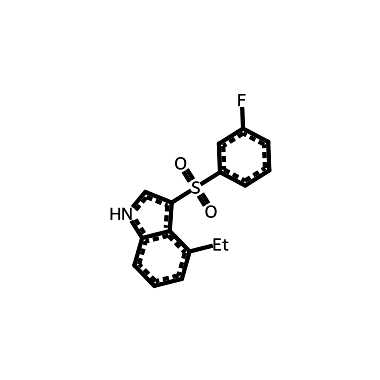 [CH2]Cc1cccc2[nH]cc(S(=O)(=O)c3cccc(F)c3)c12